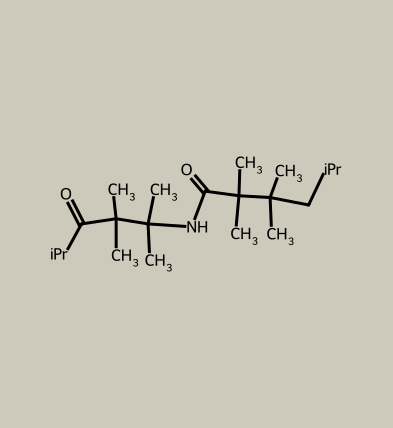 CC(C)CC(C)(C)C(C)(C)C(=O)NC(C)(C)C(C)(C)C(=O)C(C)C